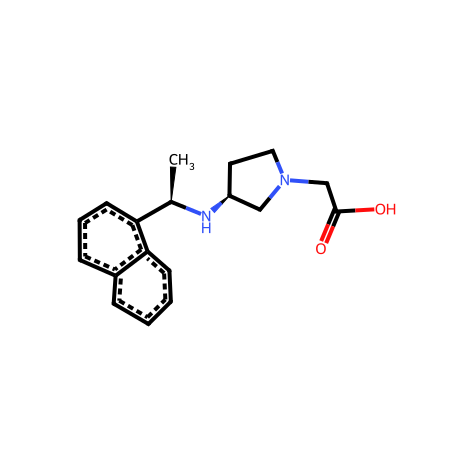 C[C@@H](N[C@H]1CCN(CC(=O)O)C1)c1cccc2ccccc12